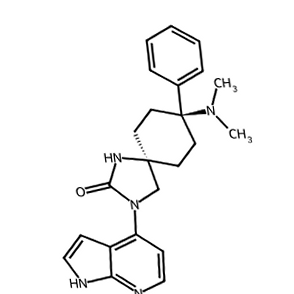 CN(C)[C@]1(c2ccccc2)CC[C@]2(CC1)CN(c1ccnc3[nH]ccc13)C(=O)N2